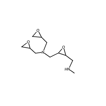 CNCC1OC1CN(CC1CO1)CC1CO1